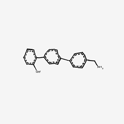 NCc1ccc(-c2ccc(-c3ccccc3O)cc2)cc1